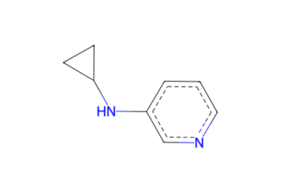 c1cncc(NC2CC2)c1